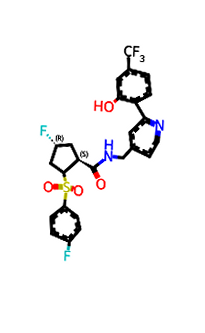 O=C(NCc1ccnc(-c2ccc(C(F)(F)F)cc2O)c1)[C@@H]1C[C@@H](F)CC1S(=O)(=O)c1ccc(F)cc1